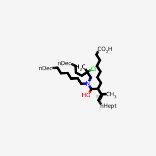 CCCCCCC/C=C(\C)C(CCCCCCC(=O)O)C(O)N(CCCCCCCCCCCCCCCC)CC(C)(Cl)CCCCCCCCCCCCC